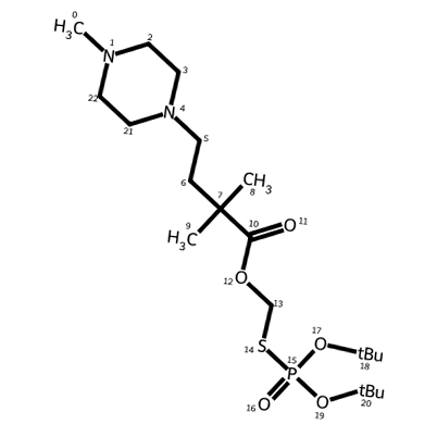 CN1CCN(CCC(C)(C)C(=O)OCSP(=O)(OC(C)(C)C)OC(C)(C)C)CC1